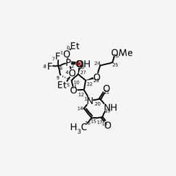 CCOP(=O)(OCC)C(F)(F)C[C@H]1OC(n2cc(C)c(=O)[nH]c2=O)[C@H](OCCOC)[C@@H]1O